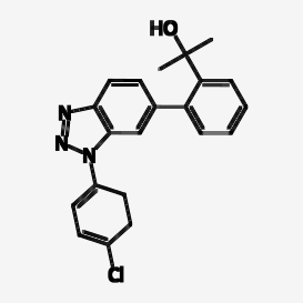 CC(C)(O)c1ccccc1-c1ccc2nnn(C3=CC=C(Cl)CC3)c2c1